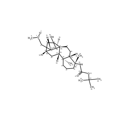 C[S+]([O-])C[C@H]1[C@H]2CC[C@@]3(CC[C@H]4[C@@](C)(CCC[C@@]4(C)NC(=O)OC(C)(C)C)[C@@H]3C2)[C@@H]1O